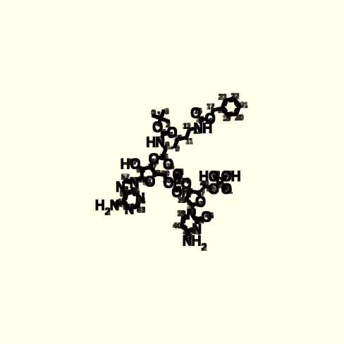 CC(C)(C)OC(=O)N[C@H](CCCCNC(=O)OCc1ccccc1)C(=O)OC1C(COP(=O)(O)O[C@H]2C[C@H](n3ccc(N)nc3=O)O[C@@H]2COP(=O)(O)O)OC(n2cnc3c(N)ncnc32)C1O